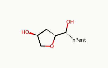 CCCCC[C@@H](O)[C@H]1C[C@H](O)CO1